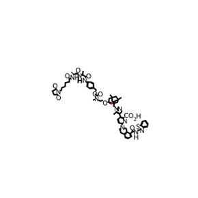 Cc1c(-c2ccc(N3CCc4cccc(C(=O)Nc5nc6ccccc6s5)c4C3)nc2C(=O)O)cnn1CC12CC3(C)CC(C)(C1)CC(OCCN(C)C(=O)OCc1ccc(NC(=O)C(C)NC(=O)[C@H](C)NC(=O)CCCCCN4C(=O)CCC4=O)cc1)(C3)C2